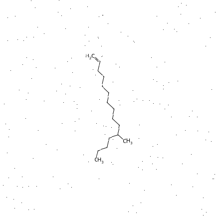 C=CCCCCCCCCC(C)CCCC